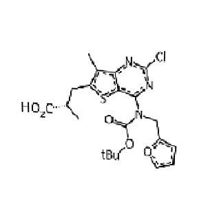 Cc1c(C[C@H](C)C(=O)O)sc2c(N(Cc3ccco3)C(=O)OC(C)(C)C)nc(Cl)nc12